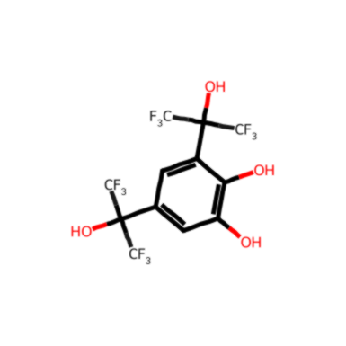 Oc1cc(C(O)(C(F)(F)F)C(F)(F)F)cc(C(O)(C(F)(F)F)C(F)(F)F)c1O